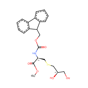 CC(C)(C)OC(=O)[C@H](CSC[C@H](O)CO)NC(=O)OCC1c2ccccc2-c2ccccc21